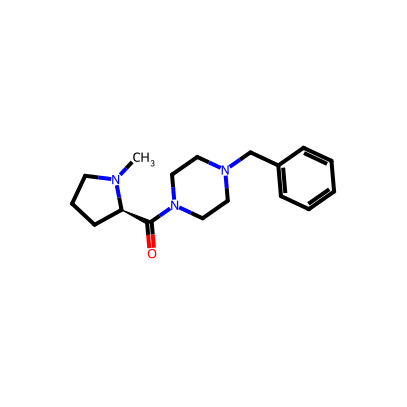 CN1CCC[C@@H]1C(=O)N1CCN(Cc2ccccc2)CC1